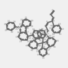 C=C/C=C(\C=C/CN(c1ccc(-c2cccc3c2c2ccccc2n3-c2ccccc2)cc1)c1cccc2c1C1(c3ccccc3-c3ccccc31)c1ccccc1-2)c1ccccc1